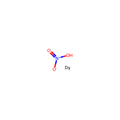 O=[N+]([O-])O.[Dy]